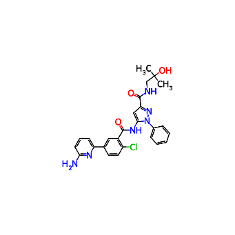 CC(C)(O)CNC(=O)c1cc(NC(=O)c2cc(-c3cccc(N)n3)ccc2Cl)n(-c2ccccc2)n1